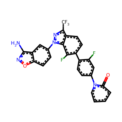 Nc1noc2ccc(-n3nc(C(F)(F)F)c4ccc(-c5ccc(-n6ccccc6=O)cc5F)c(F)c43)cc12